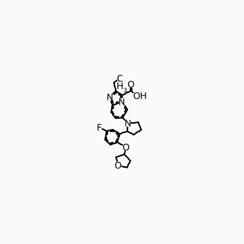 CCc1nc2ccc(N3CCCC3c3cc(F)ccc3OC3CCOC3)cn2c1C(=O)O